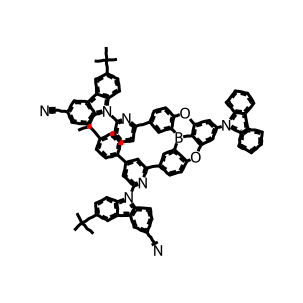 CC(C)c1ccc(-c2cc(-c3ccc4c(c3)B3c5cc(-c6cccc(-n7c8ccc(C#N)cc8c8cc(C(C)(C)C)ccc87)n6)ccc5Oc5cc(-n6c7ccccc7c7ccccc76)cc(c53)O4)nc(-n3c4ccc(C#N)cc4c4cc(C(C)(C)C)ccc43)c2)cc1